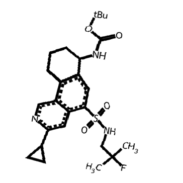 CC(C)(F)CNS(=O)(=O)c1cc2c(c3cnc(C4CC4)cc13)CCCC2NC(=O)OC(C)(C)C